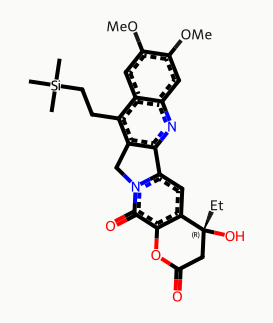 CC[C@@]1(O)CC(=O)Oc2c1cc1n(c2=O)Cc2c-1nc1cc(OC)c(OC)cc1c2CC[Si](C)(C)C